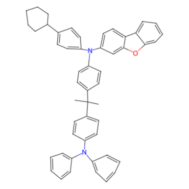 CC(C)(c1ccc(N(c2ccccc2)c2ccccc2)cc1)c1ccc(N(c2ccc(C3CCCCC3)cc2)c2ccc3c(c2)oc2ccccc23)cc1